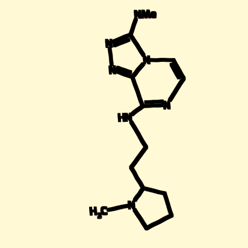 CNc1nnc2c(NCCC3CCCN3C)nccn12